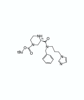 CC(C)(C)OC(=O)N1CCN[C@@H](C(=O)N(CCCn2ccnc2)Cc2ccccc2)C1